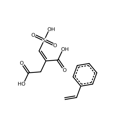 C=Cc1ccccc1.O=C(O)CC(=CS(=O)(=O)O)C(=O)O